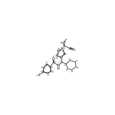 N#CC1(n2cc(C(NC(=O)c3ccc(F)cc3)C3CCCCC3)nn2)CC1